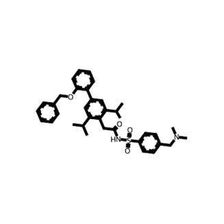 CC(C)c1cc(-c2ccccc2OCc2ccccc2)cc(C(C)C)c1CC(=O)NS(=O)(=O)c1ccc(CN(C)C)cc1